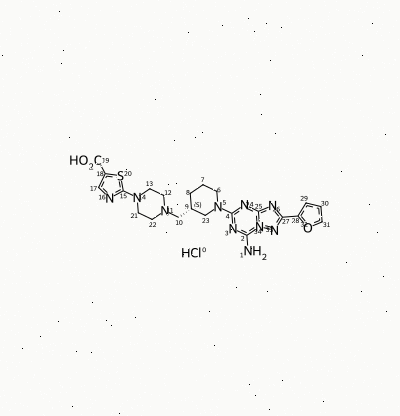 Cl.Nc1nc(N2CCC[C@@H](CN3CCN(c4ncc(C(=O)O)s4)CC3)C2)nc2nc(-c3ccco3)nn12